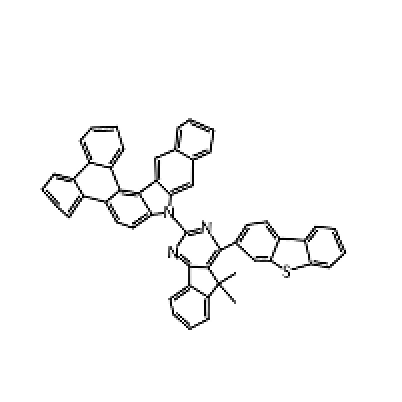 CC1(C)c2ccccc2-c2nc(-n3c4cc5ccccc5cc4c4c5c6ccccc6c6ccccc6c5ccc43)nc(-c3ccc4c(c3)sc3ccccc34)c21